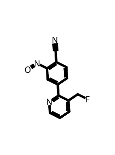 N#Cc1ccc(-c2ncccc2CF)cc1N=O